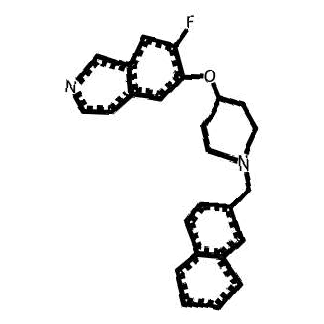 Fc1cc2cnccc2cc1OC1CCN(Cc2ccc3ccccc3c2)CC1